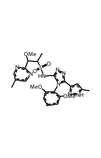 COc1cccc(OC)c1-n1c(NS(=O)(=O)C(C)C(OC)c2ncc(C)cn2)nnc1-c1cc(C)[nH]n1